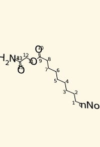 CCCCCCCCCCCCCCCCCC(=O)OCC(N)=O